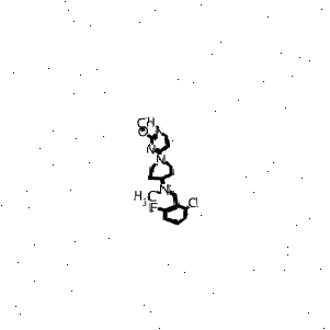 COc1nccc(N2CCC(N(C)Cc3c(F)cccc3Cl)CC2)n1